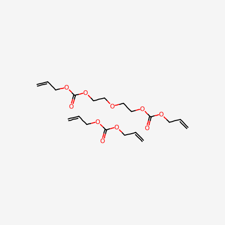 C=CCOC(=O)OCC=C.C=CCOC(=O)OCCOCCOC(=O)OCC=C